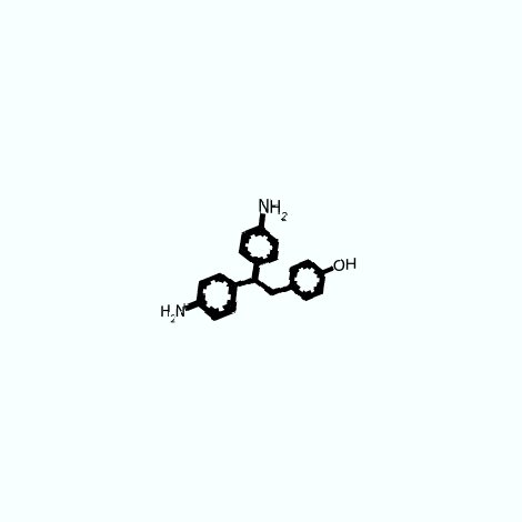 Nc1ccc(C(Cc2ccc(O)cc2)c2ccc(N)cc2)cc1